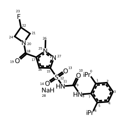 CC(C)c1cccc(C(C)C)c1NC(=O)NS(=O)(=O)c1cc(C(=O)N2CC(F)C2)n(C)n1.[NaH]